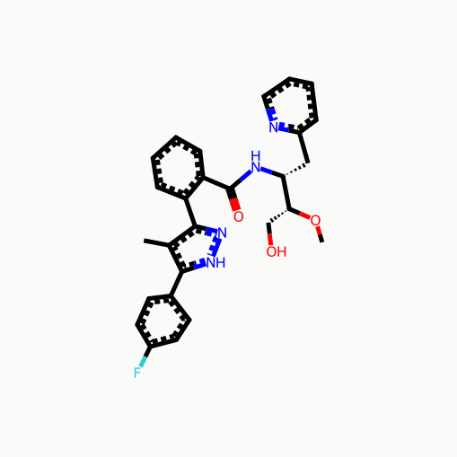 CO[C@H](CO)[C@@H](Cc1ccccn1)NC(=O)c1ccccc1-c1n[nH]c(-c2ccc(F)cc2)c1C